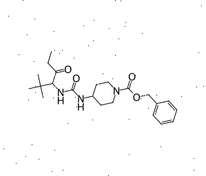 CCC(=O)C(NC(=O)NC1CCN(C(=O)OCc2ccccc2)CC1)C(C)(C)C